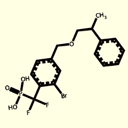 CC(COCc1ccc(C(F)(F)P(=O)(O)O)c(Br)c1)c1ccccc1